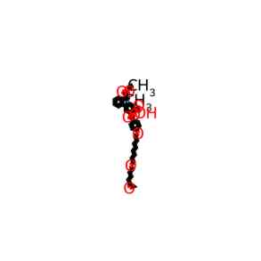 CCOC(=O)C(C)c1ccccc1C1=CCC(OC(=O)c2ccc(OCCCCCCCCOCCCCC3CO3)cc2)(C(=O)O)C=C1